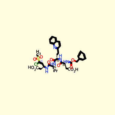 CC(C)[C@H](NC(=O)[C@H](CCc1ccc2ccccc2n1)NC(=O)[C@H](CC(=O)O)NC(=O)OCc1ccccc1)C(=O)N[C@H](/C=C(\Cl)S(C)(=O)=O)CC(=O)O